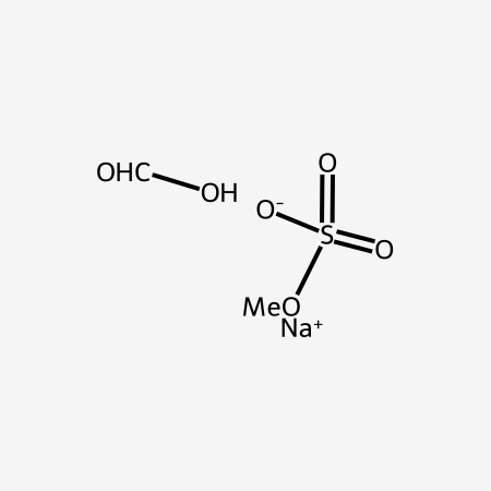 COS(=O)(=O)[O-].O=CO.[Na+]